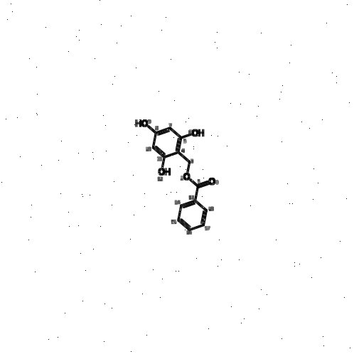 O=C(OCc1c(O)cc(O)cc1O)c1ccccc1